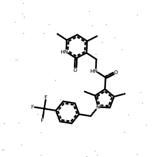 Cc1cc(C)c(CNC(=O)c2c(C)cn(Cc3ccc(C(F)(F)F)cc3)c2C)c(=O)[nH]1